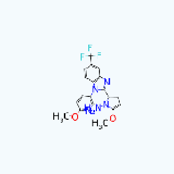 COc1ccc(-n2c(-c3ccc(OC)n3N)nc3cc(C(F)(F)F)ccc32)cn1